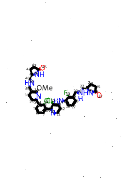 COc1nc(-c2cccc(-c3nccc(Nc4cccc(CNC[C@H]5CCC(=O)N5)c4F)c3Cl)c2Cl)ccc1CNC[C@H]1CCC(=O)N1